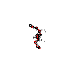 COc1cc(-c2nnnn2-c2cccc(S(=O)(=O)O)c2C(=O)c2ccc(OCc3cccc(OCc4ccc5ccccc5n4)c3)c(OC)c2)ccc1COc1cccc(OCc2ccc3ccccc3n2)c1